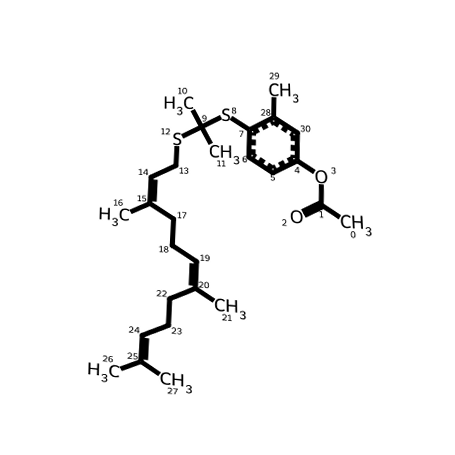 CC(=O)Oc1ccc(SC(C)(C)SCC=C(C)CCC=C(C)CCC=C(C)C)c(C)c1